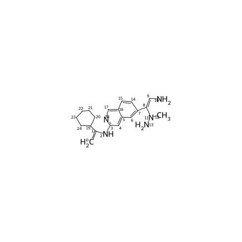 C=C(Nc1cc2cc(/C(=C/N)N(C)N)ccc2cn1)C1CCCCC1